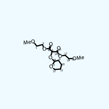 COCCOC(=O)C(OC1CCCCO1)C(=O)OCCOC